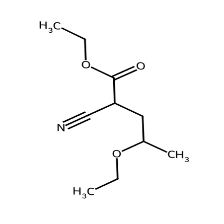 CCOC(=O)C(C#N)CC(C)OCC